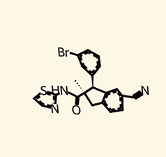 C[C@@]1(C(=O)Nc2nccs2)Cc2ccc(C#N)cc2[C@@H]1c1cccc(Br)c1